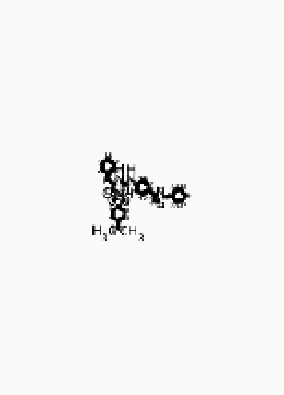 CC(C)c1ccc(S(=O)(=O)NC(=O)C(Cc2ccccc2)NC(=O)Nc2ccc(-c3csc(-c4ccccc4)n3)cc2)cc1